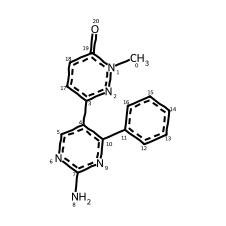 Cn1nc(-c2cnc(N)nc2-c2ccccc2)ccc1=O